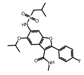 CNC(=O)c1c(-c2ccc(F)cc2)oc2cc(NS(=O)(=O)CC(C)C)c(OC(C)C)cc12